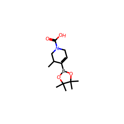 CC1CN(C(=O)O)CC=C1B1OC(C)(C)C(C)(C)O1